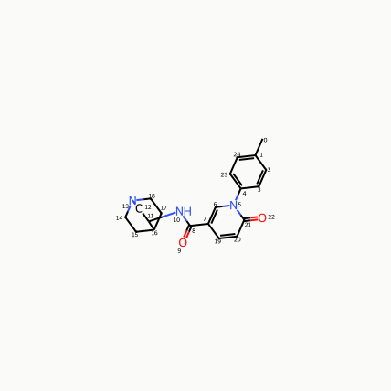 Cc1ccc(-n2cc(C(=O)NC3CN4CCC3CC4)ccc2=O)cc1